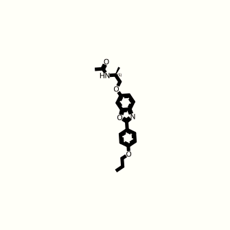 CCCOc1ccc(-c2nc3ccc(OC[C@H](C)NC(C)=O)cc3o2)cc1